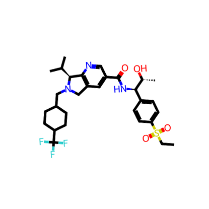 CCS(=O)(=O)c1ccc([C@@H](NC(=O)c2cnc3c(c2)CN(CC2CCC(C(F)(F)F)CC2)[C@H]3C(C)C)[C@@H](C)O)cc1